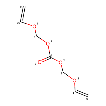 C=COCOC(=O)OCOC=C